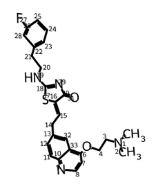 CN(C)CCOc1ccnc2ccc(C/C=C3\SC(NCCc4cccc(F)c4)=NC3=O)cc12